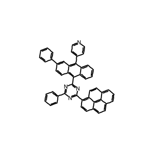 c1ccc(-c2ccc3c(-c4nc(-c5ccccc5)nc(-c5ccc6ccc7cccc8ccc5c6c78)n4)c4ccccc4c(-c4ccncc4)c3c2)cc1